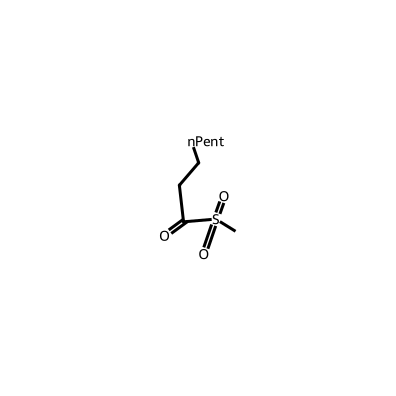 CCCCCCCC(=O)S(C)(=O)=O